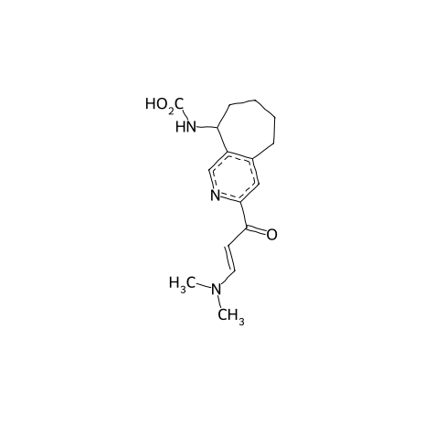 CN(C)C=CC(=O)c1cc2c(cn1)C(NC(=O)O)CCCC2